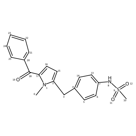 Cn1c(Cc2ccc(NS(C)(=O)=O)cc2)ccc1C(=O)c1ccccc1